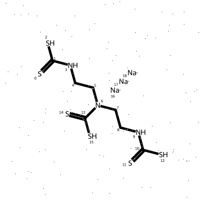 S=C(S)NCCN(CCNC(=S)S)C(=S)S.[Na].[Na].[Na]